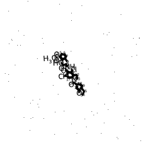 CS(=O)(=O)c1cccc(C[C@H](NC(=O)c2c(Cl)cc3c(c2Cl)CCN3C(=O)c2ccc3c(c2)OCC3)C(=O)O)c1